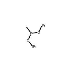 CC(C)OP(C)OC(C)C